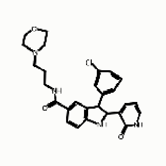 O=C(NCCCN1CCOCC1)c1ccc2c(c1)C(c1cccc(Cl)c1)C(c1ccc[nH]c1=O)N2